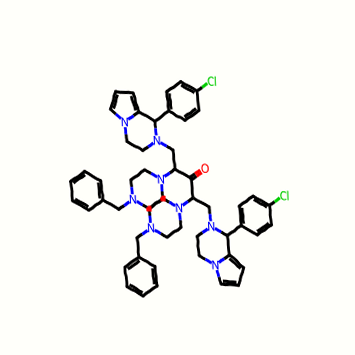 O=C(C(CN1CCn2cccc2C1c1ccc(Cl)cc1)N1CCN(Cc2ccccc2)CC1)C(CN1CCn2cccc2C1c1ccc(Cl)cc1)N1CCN(Cc2ccccc2)CC1